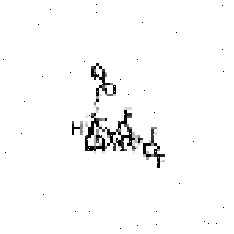 O=C([CH]CC/C=C/C(=O)N1CCCC1)Nc1cccn(Cc2cc3cc(F)cc(OCc4ccc(F)cc4F)c3[nH]2)c1=O